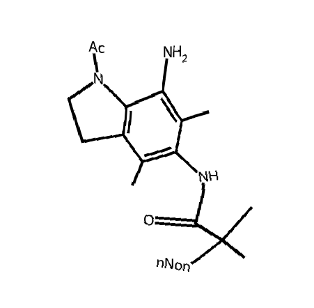 CCCCCCCCCC(C)(C)C(=O)Nc1c(C)c(N)c2c(c1C)CCN2C(C)=O